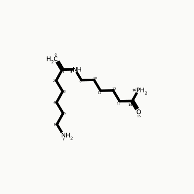 C=C(CCCCCN)NCCCCCC(=O)P